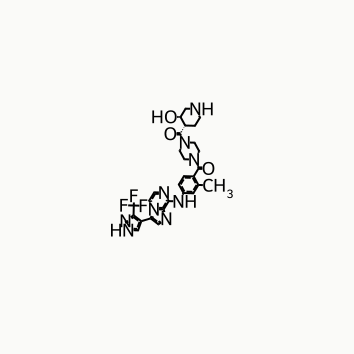 Cc1cc(Nc2nccn3c(-c4c[nH]nc4C(F)(F)F)cnc23)ccc1C(=O)N1CCN(C(=O)[C@H]2CCNC[C@@H]2O)CC1